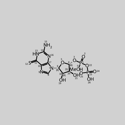 COP(=O)(O[C@H]1O[C@@H](n2cnc3c(=S)[nH]c(N)nc32)[C@H](O)[C@@H]1O)OP(=O)(O)O